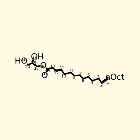 CCCCCCCC/C=C\CCCCCCCCCCCC(=O)OCC(O)CO